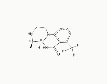 C[C@H]1NCCN2c3cccc(C(F)(F)F)c3C(=O)N[C@@H]12